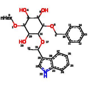 CCCCCCOC1C(O)C(O)C(OCc2ccccc2)C(OC(C)c2c[nH]c3ccccc23)C1O